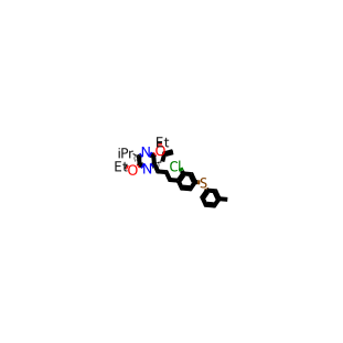 C=CC[C@]1(CCCc2ccc(Sc3cccc(C)c3)cc2Cl)N=C(OCC)[C@H](C(C)C)N=C1OCC